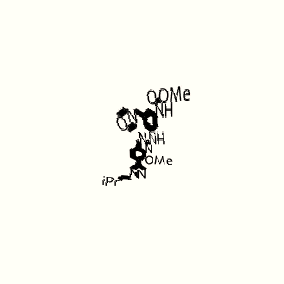 COC(=O)Nc1cc(CN2CCOCC2)cc(Nc2ncc3ccc(-c4cnn(CCC(C)C)c4)c(OC)c3n2)c1